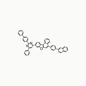 c1ccc(-c2ccc(-c3nc(-c4ccccc4)cc(-c4ccc5c(c4)oc4cc(-c6ccc(-c7ccc8ccccc8c7)cc6)c6ccccc6c45)n3)cc2)cc1